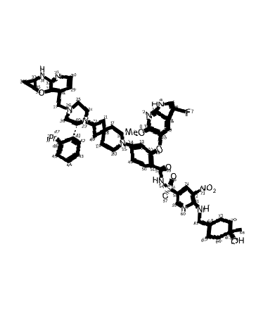 COc1nc2[nH]cc(F)c2cc1Oc1cc(N2CCC3(CC2)CC(N2CCN(Cc4ccnc5c4OC4CC4N5)C[C@H]2c2ccccc2C(C)C)C3)ccc1C(=O)NS(=O)(=O)c1cnc(NCC2CCC(C)(O)CC2)c([N+](=O)[O-])c1